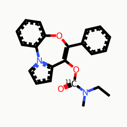 CCN(C)[11C](=O)OC1=C(c2ccccc2)Oc2ccccc2-n2cccc21